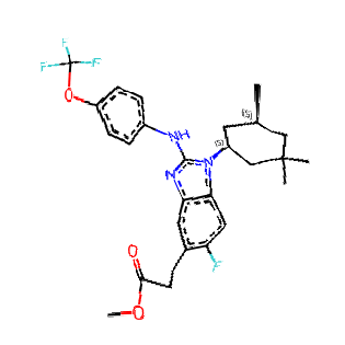 COC(=O)Cc1cc2nc(Nc3ccc(OC(F)(F)F)cc3)n([C@H]3C[C@@H](C)CC(C)(C)C3)c2cc1F